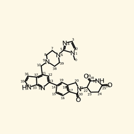 Cn1ccnc1N1CCN(Cc2cc(-c3ccc4c(c3)CN(C3CCC(=O)NC3=O)C4=O)nc3[nH]ccc23)CC1